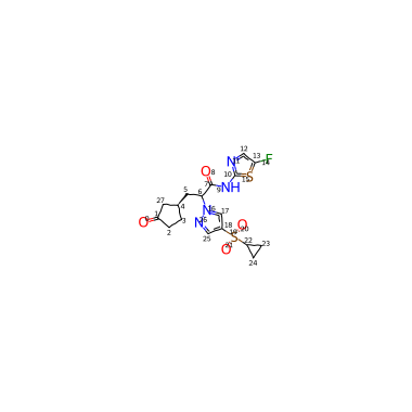 O=C1CC[C@H](CC(C(=O)Nc2ncc(F)s2)n2cc(S(=O)(=O)C3CC3)cn2)C1